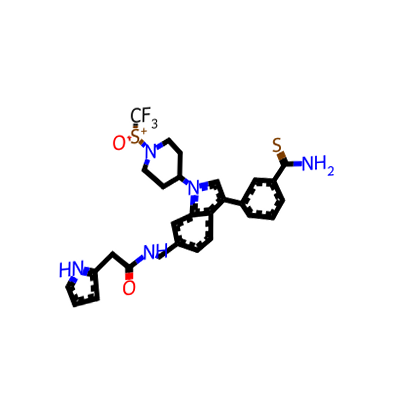 NC(=S)c1cccc(-c2cn(C3CCN([S+]([O-])C(F)(F)F)CC3)c3cc(CNC(=O)Cc4ccc[nH]4)ccc23)c1